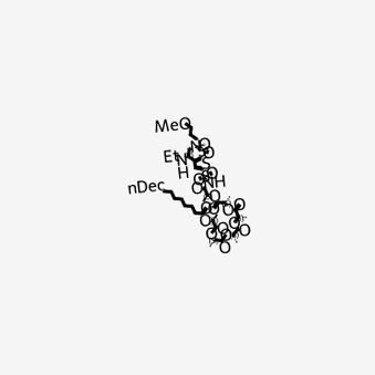 CCCCCCCCCCCCCCCCCC(=O)O[C@@H](C)C(=O)O[C@@H](C)C(=O)O[C@@H](C)C(=O)O[C@@H](C)C(=O)O[C@@H](C)C(=O)O[C@@H](C)C(=O)NS(=O)(=O)c1cc2c(s1)S(=O)(=O)N(CCCOC)C[C@@H]2NCC